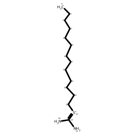 CCCCCCCCCCCCC[S+]=C(N)N